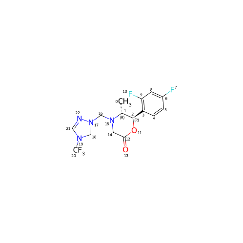 C[C@@H]1[C@@H](c2ccc(F)cc2F)OC(=O)CN1CN1CN(C(F)(F)F)C=N1